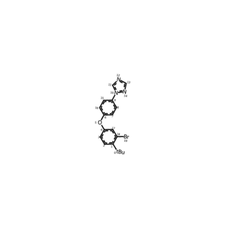 CC(C)(C)c1ccc(Oc2ccc(-n3cncn3)cc2)cc1Br